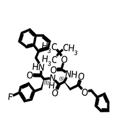 CC(C)(C)OC(=O)N[C@@H](CC(=O)OCc1ccccc1)C(=O)N[C@@H](Cc1ccc(F)cc1)C(=O)NCc1cccc2ccccc12